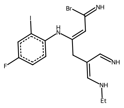 CCN/C=C(\C=N)C/C(=C/C(=N)Br)Nc1ccc(F)cc1I